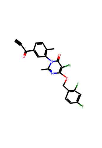 C#CC(=O)c1ccc(C)c(-n2c(C)nc(OCc3ccc(F)cc3F)c(Br)c2=O)c1